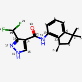 C[C@@H]1CC(C)(C)c2cccc(NC(=O)c3c[nH]nc3C(F)F)c21